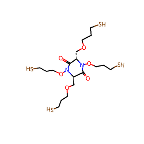 O=C1[C@H](COCCCS)N(OCCCS)C(=O)[C@@H](COCCCS)N1OCCCS